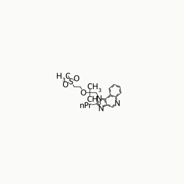 CCCc1nc2cnc3ccccc3c2n1CC(C)(C)OCCS(C)(=O)=O